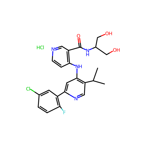 CC(C)c1cnc(-c2cc(Cl)ccc2F)cc1Nc1ccncc1C(=O)NC(CO)CO.Cl